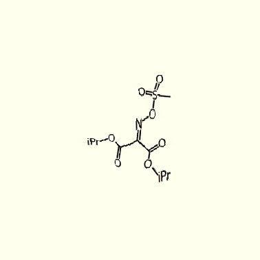 CC(C)OC(=O)C(=NOS(C)(=O)=O)C(=O)OC(C)C